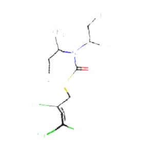 CCC(C)N(C(=O)SCC(Cl)=C(Cl)Cl)C(C)CC